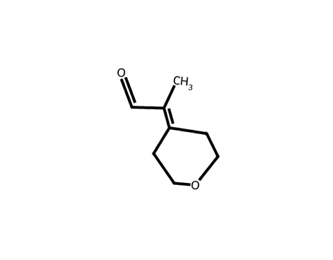 CC(C=O)=C1CCOCC1